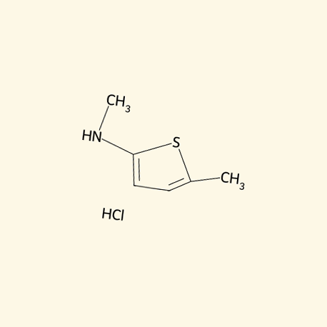 CNc1ccc(C)s1.Cl